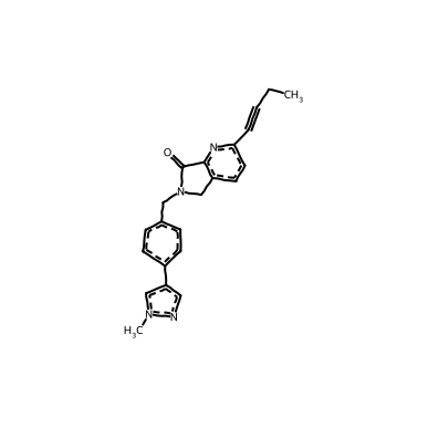 CCC#Cc1ccc2c(n1)C(=O)N(Cc1ccc(-c3cnn(C)c3)cc1)C2